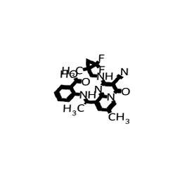 Cc1cc([C@@H](C)Nc2ccccc2C(=O)O)c2nc(NCC3(C)CC3(F)F)c(C#N)c(=O)n2c1